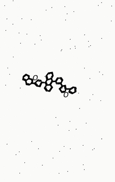 c1cc(-c2ccc3oc4ccccc4c3c2)cc(-c2c3ccccc3c(-c3ccc4c(c3)oc3c5ccccc5ccc43)c3ccccc23)c1